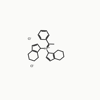 C[C](c1ccccc1)=[Hf+2]([CH]1C=CC2=C1CCCC2)[CH]1C=CC2=C1CCCC2.[Cl-].[Cl-]